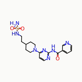 NS(=O)(=O)NCCC1CCN(c2ccnc(NC(=O)c3cccnc3)n2)CC1